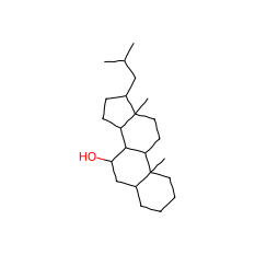 CC(C)CC1CCC2C3C(O)CC4CCCCC4(C)C3CCC12C